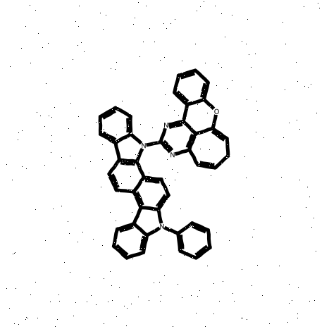 C1=Cc2nc(-n3c4ccccc4c4ccc5c(ccc6c5c5ccccc5n6-c5ccccc5)c43)nc3c2C(=CC1)Oc1ccccc1-3